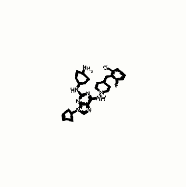 NC1CCC(Nc2nc(NN3CCC(Cc4c(F)cccc4Cl)CC3)c3ncn(C4CCCC4)c3n2)CC1